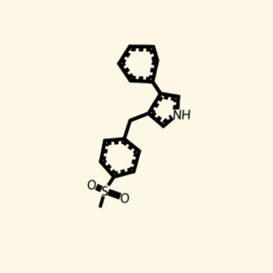 CS(=O)(=O)c1ccc(Cc2c[nH]cc2-c2ccccc2)cc1